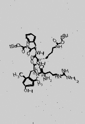 Cc1cc(O)cc(C)c1C[C@H](NC(=O)[C@H](N)CCCNC(=N)N)C(=O)N[C@@H](CCCCNC(=O)OC(C)(C)C)C(=O)N[C@@H](Cc1ccccc1)C(=O)NC(=O)OC(C)(C)C